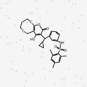 Cc1cc(C)c(S(=O)(=O)Nc2cccc(C(c3c(O)c4c(oc3=O)CCCCCC4)C3CC3)c2)c(C)c1